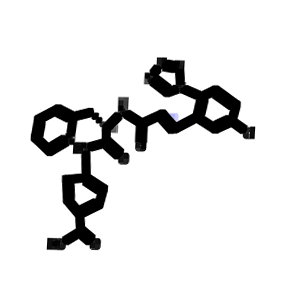 O=C(/C=C/c1cc(Cl)ccc1-n1cnnn1)N[C@@H](Cc1ccccn1)C(=O)Nc1ccc(C(=O)O)cc1